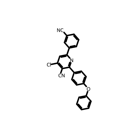 N#Cc1cccc(-c2cc(Cl)c(C#N)c(-c3ccc(Oc4ccccc4)cc3)n2)c1